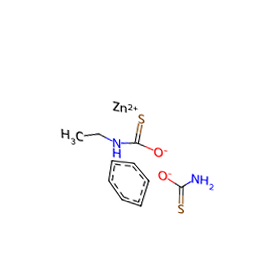 CCNC([O-])=S.NC([O-])=S.[Zn+2].c1ccccc1